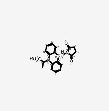 CC(C(=O)O)N1c2ccccc2Sc2ccccc21.O=C1CCC(=O)N1O